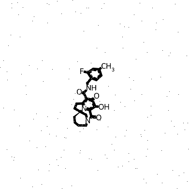 Cc1ccc(CNC(=O)c2c3n4c(c(O)c2=O)C(=O)N2CCCC[C@]4(CC3)C2)c(F)c1